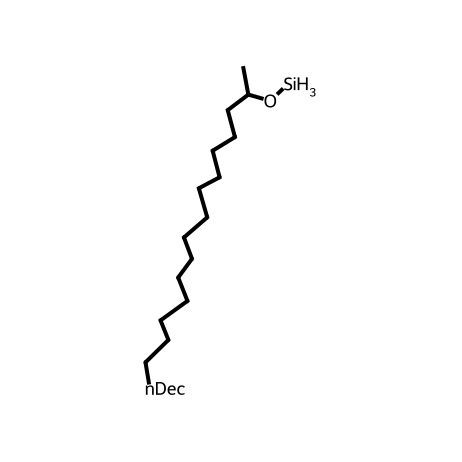 CCCCCCCCCCCCCCCCCCCCCCCC(C)O[SiH3]